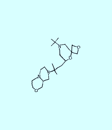 CC(C)(C)N1CC(CC(C)(C)N2CCN3CCOCC3C2)OC2(COC2)C1